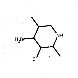 BC1C(C)CNC(C)C1Cl